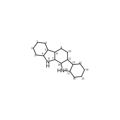 C1CCC2C(C1)NC1C2CCC2C3CCCCC3NC21